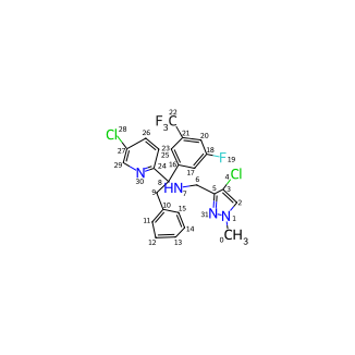 Cn1cc(Cl)c(CNC(Cc2ccccc2)(c2cc(F)cc(C(F)(F)F)c2)c2ccc(Cl)cn2)n1